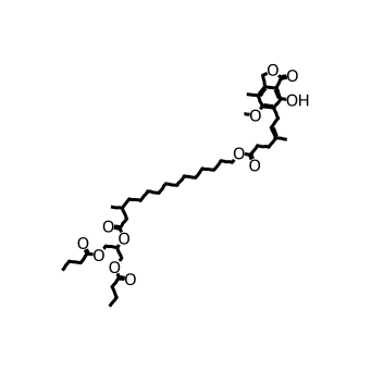 CCCC(=O)OCC(COC(=O)CCC)OC(=O)CC(C)CCCCCCCCCCCCOC(=O)CC/C(C)=C/Cc1c(O)c2c(c(C)c1OC)COC2=O